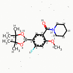 COc1cc(F)c(B2OC(C)(C)C(C)(C)O2)cc1C(=O)N1CCCCC1